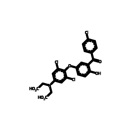 O=C(O)CN(CC(=O)O)c1cc(Cl)c(Oc2ccc(O)c(C(=O)c3ccc(Cl)cc3)c2)c(Cl)c1